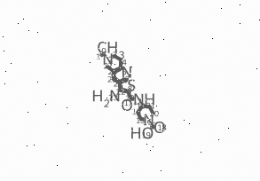 CCN1CCc2nc3sc(C(=O)NC4CCN(C(=O)O)CC4)c(N)c3cc2C1